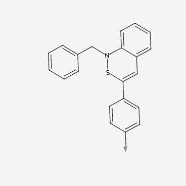 Fc1ccc(C2=Cc3ccccc3N(Cc3ccccc3)S2)cc1